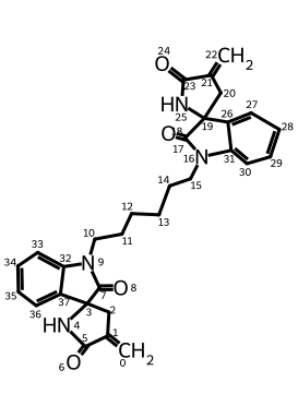 C=C1CC2(NC1=O)C(=O)N(CCCCCCN1C(=O)C3(CC(=C)C(=O)N3)c3ccccc31)c1ccccc12